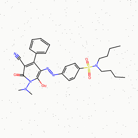 CCCCN(CCCC)S(=O)(=O)c1ccc(/N=N/c2c(-c3ccccc3)c(C#N)c(=O)n(N(C)C)c2O)cc1